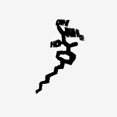 CCCCCCCCc1ccc(C(C)C(O)C(N)CO)cc1